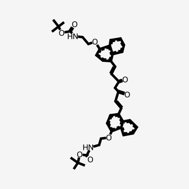 CC(C)(C)OC(=O)NCCOc1ccc(C=CC(=O)CC(=O)C=Cc2ccc(OCCNC(=O)OC(C)(C)C)c3ccccc23)c2ccccc12